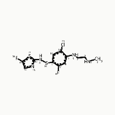 CNCCNc1cc(F)c(SNc2ncc(F)s2)cc1Cl